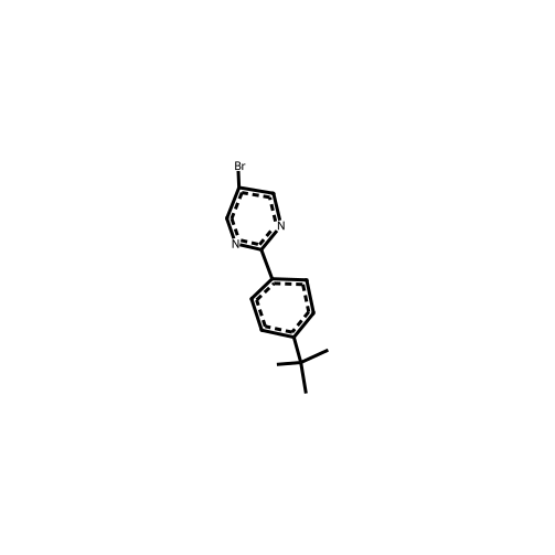 CC(C)(C)c1ccc(-c2ncc(Br)cn2)cc1